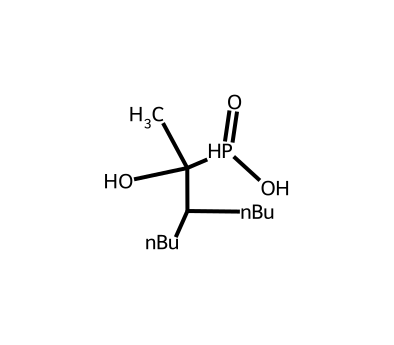 CCCCC(CCCC)C(C)(O)[PH](=O)O